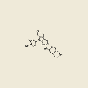 Cc1cc(-n2c3nc(Nc4ccc5c(c4)CCNC5)ncc3c(=O)n2CC(F)(F)F)ccc1C#N